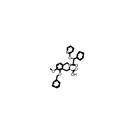 COc1ccc2c(c1OCc1ccccc1)C[C@H](C(=O)O)N(C(=O)[C@@H](Oc1ccccn1)c1ccccc1)C2